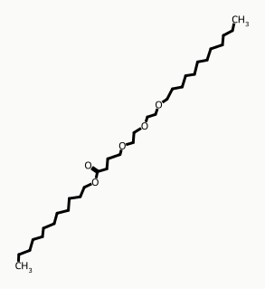 CCCCCCCCCCCCOCCOCCOCCCC(=O)OCCCCCCCCCCCC